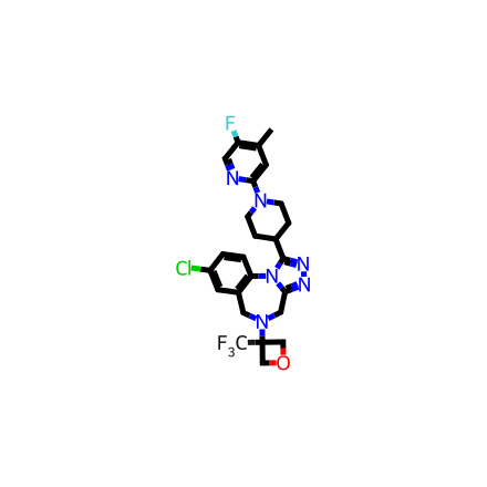 Cc1cc(N2CCC(c3nnc4n3-c3ccc(Cl)cc3CN(C3(C(F)(F)F)COC3)C4)CC2)ncc1F